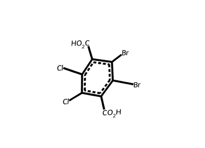 O=C(O)c1c(Cl)c(Cl)c(C(=O)O)c(Br)c1Br